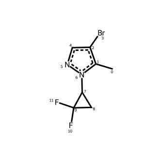 Cc1c(Br)cnn1C1CC1(F)F